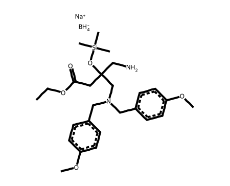 CCOC(=O)CC(CN)(CN(Cc1ccc(OC)cc1)Cc1ccc(OC)cc1)O[Si](C)(C)C.[BH4-].[Na+]